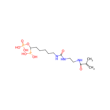 C=C(C)C(=O)NCCNC(=O)NCCCCCC(OP(=O)(O)O)P(O)O